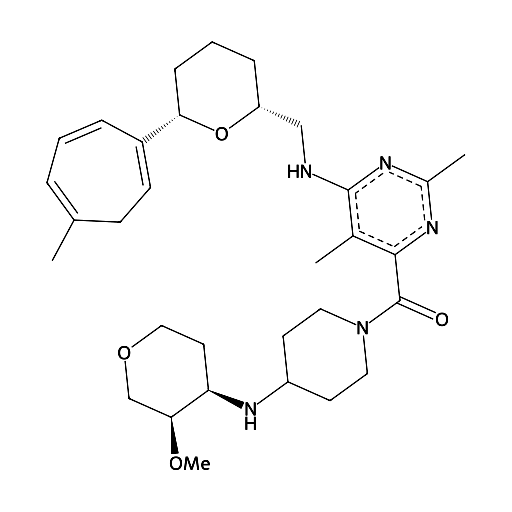 CO[C@H]1COCC[C@H]1NC1CCN(C(=O)c2nc(C)nc(NC[C@H]3CCC[C@@H](C4=CCC(C)=CC=C4)O3)c2C)CC1